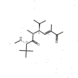 CN[C@H](C(=O)N(C)[C@H](/C=C(\C)C(C)=O)C(C)C)C(C)(C)C